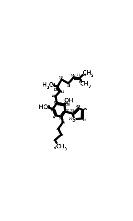 CCCCCc1cc(O)c(C/C=C(\C)CCC=C(C)C)c(O)c1-c1cccs1